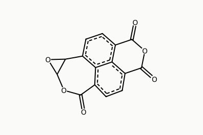 O=C1OC(=O)c2ccc3c4c(ccc1c24)C(=O)OC1OC31